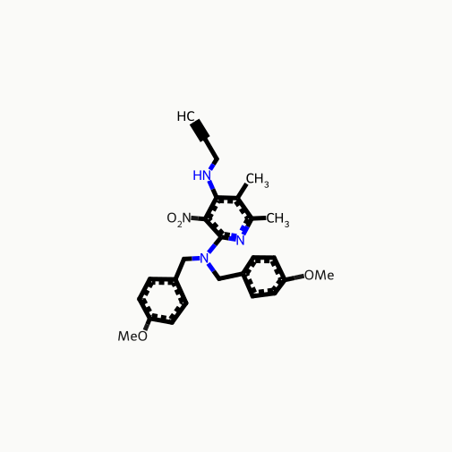 C#CCNc1c(C)c(C)nc(N(Cc2ccc(OC)cc2)Cc2ccc(OC)cc2)c1[N+](=O)[O-]